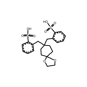 O=S(=O)(O)c1ccccc1CC1(Cc2ccccc2S(=O)(=O)O)CCC2(CC1)OCCO2